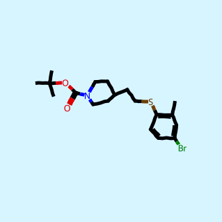 Cc1cc(Br)ccc1SCCC1CCN(C(=O)OC(C)(C)C)CC1